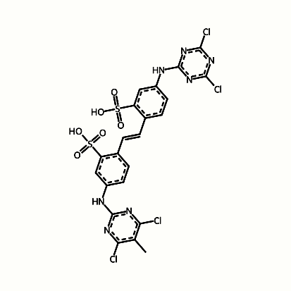 Cc1c(Cl)nc(Nc2ccc(C=Cc3ccc(Nc4nc(Cl)nc(Cl)n4)cc3S(=O)(=O)O)c(S(=O)(=O)O)c2)nc1Cl